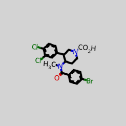 CN(C(=O)c1ccc(Br)cc1)C1CCN(C(=O)O)CC1c1ccc(Cl)c(Cl)c1